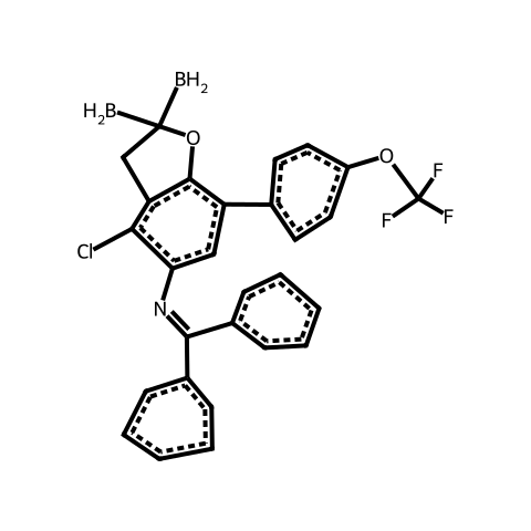 BC1(B)Cc2c(Cl)c(N=C(c3ccccc3)c3ccccc3)cc(-c3ccc(OC(F)(F)F)cc3)c2O1